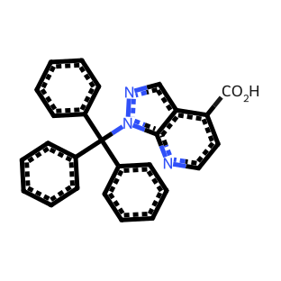 O=C(O)c1ccnc2c1cnn2C(c1ccccc1)(c1ccccc1)c1ccccc1